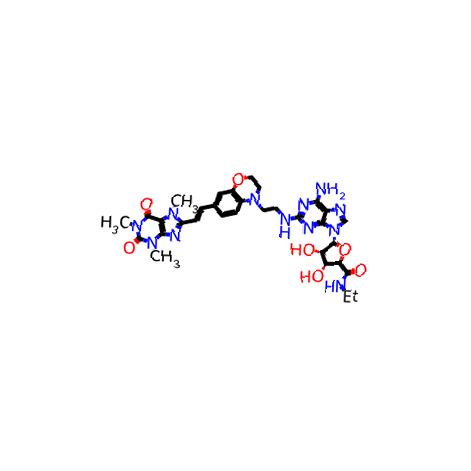 CCNC(=O)C1O[C@@H](n2cnc3c(N)nc(NCCN4CCOc5cc(/C=C/c6nc7c(c(=O)n(C)c(=O)n7C)n6C)ccc54)nc32)[C@H](O)[C@@H]1O